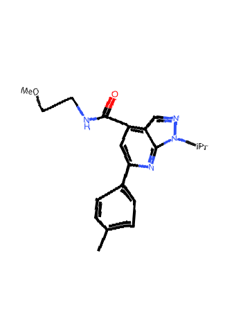 COCCNC(=O)c1cc(-c2ccc(C)cc2)nc2c1cnn2C(C)C